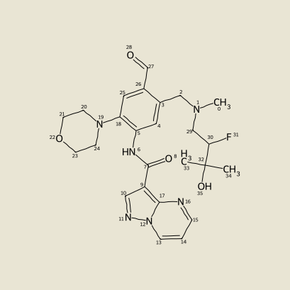 CN(Cc1cc(NC(=O)c2cnn3cccnc23)c(N2CCOCC2)cc1C=O)CC(F)C(C)(C)O